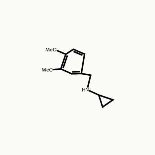 COc1ccc(CNC2CC2)cc1OC